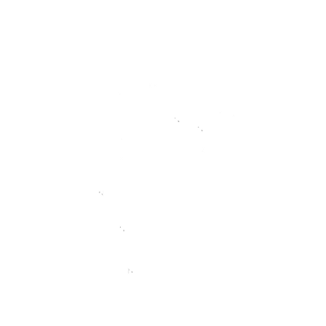 CN1CCN(c2cc(-c3cc(=O)n(C)nc3-c3ccccc3Oc3ccccc3)ccn2)CC1